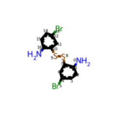 Nc1ccc(Br)cc1SSc1cc(Br)ccc1N